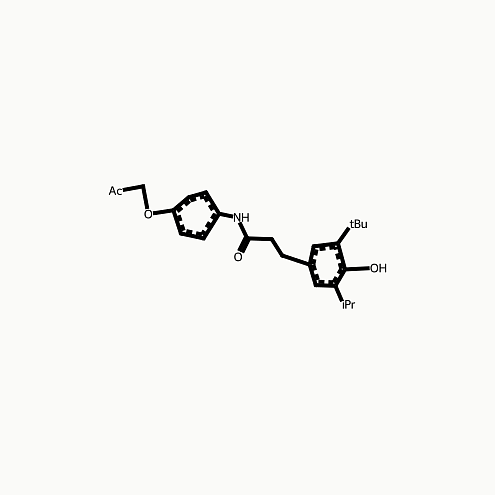 CC(=O)COc1ccc(NC(=O)CCc2cc(C(C)C)c(O)c(C(C)(C)C)c2)cc1